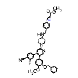 COC(=O)/C=C/c1ccc(CNC2CCN(c3cc(-c4ccc(C#N)c(F)c4)c(-c4ccc(OC)c(OCc5ccccc5)c4)cn3)CC2)cc1